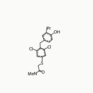 CNC(=O)CSc1cc(Cl)c(Cc2ccc(O)c(C(C)C)c2)c(Cl)c1